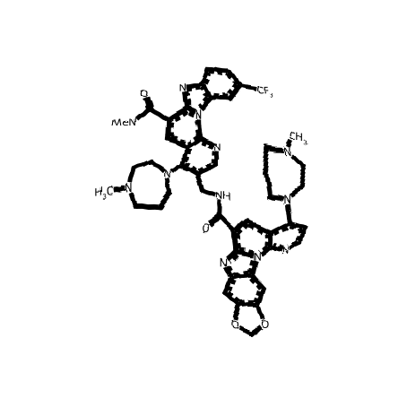 CNC(=O)c1cc2c(N3CCCN(C)CC3)c(CNC(=O)c3cc4c(N5CCCN(C)CC5)ccnc4n4c3nc3cc5c(cc34)OCO5)cnc2n2c1nc1ccc(C(F)(F)F)cc12